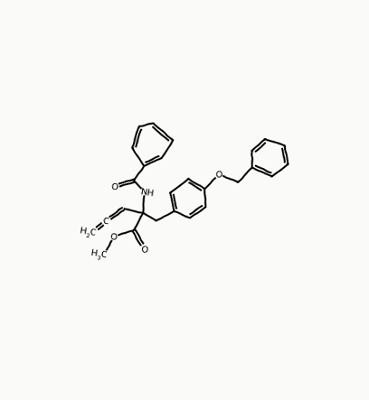 C=C=CC(Cc1ccc(OCc2ccccc2)cc1)(NC(=O)c1ccccc1)C(=O)OC